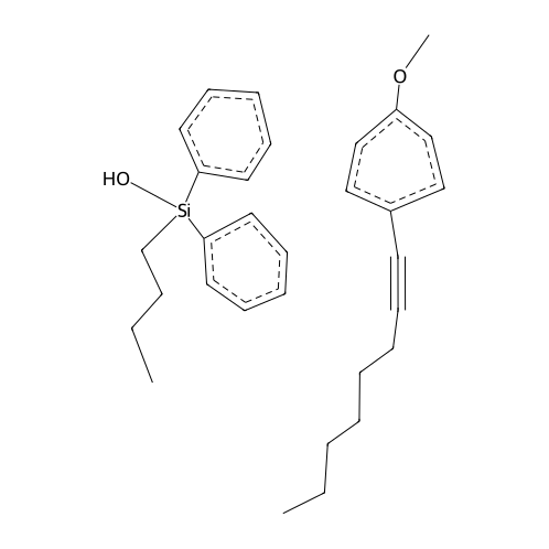 CCCCCCC#Cc1ccc(OC)cc1.CCCC[Si](O)(c1ccccc1)c1ccccc1